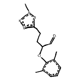 Cc1cccc(C)c1OC(C=O)CCc1nnn(C)n1